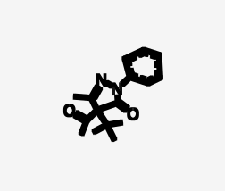 CC(=O)C1(C(C)(C)C)C(=O)N(c2ccccc2)N=C1C